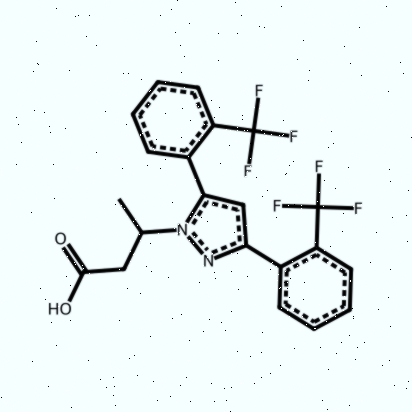 CC(CC(=O)O)n1nc(-c2ccccc2C(F)(F)F)cc1-c1ccccc1C(F)(F)F